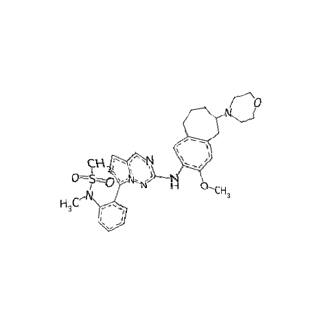 COc1cc2c(cc1Nc1ncc3ccc(-c4ccccc4N(C)S(C)(=O)=O)n3n1)CCCC(N1CCOCC1)C2